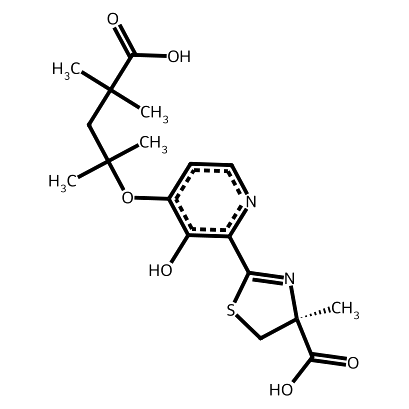 CC(C)(CC(C)(C)C(=O)O)Oc1ccnc(C2=N[C@@](C)(C(=O)O)CS2)c1O